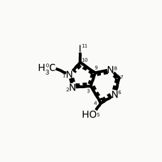 Cn1nc2c(O)ncnc2c1I